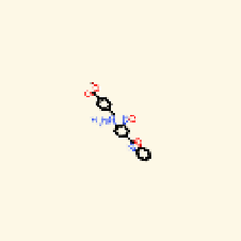 COC(=O)c1ccc(CN(N)c2ccc(-c3nc4ccccc4o3)cc2N=O)cc1